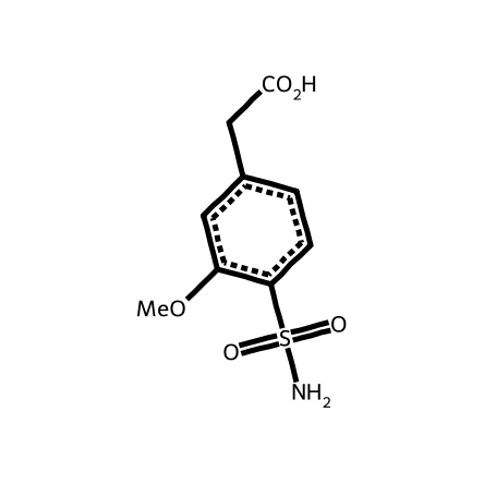 COc1cc(CC(=O)O)ccc1S(N)(=O)=O